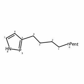 CCCCCCCCCc1cc[nH]p1